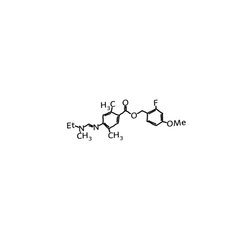 CCN(C)/C=N/c1cc(C)c(C(=O)OCc2ccc(OC)cc2F)cc1C